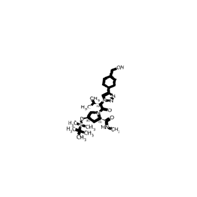 CNC(=O)[C@@H]1C[C@@H](O[Si](C)(C)C(C)(C)C)CN1C(=O)[C@H](C(C)C)n1cc(C2CCC(CO)CC2)nn1